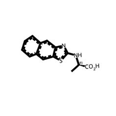 C[C@@H](Nc1nc2cc3ccccc3cc2s1)C(=O)O